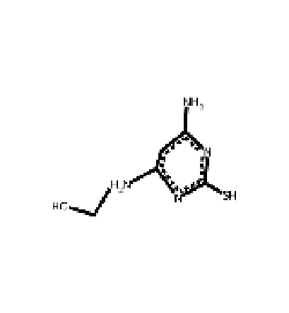 CCO.Nc1cc(N)nc(S)n1